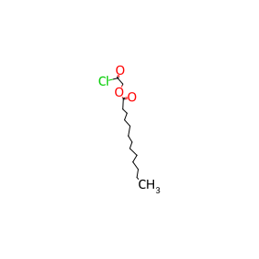 CCCCCCCCCCCCC(=O)OCC(=O)Cl